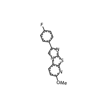 COc1ccc2c(n1)sc1nc(-c3ccc(F)cc3)cn12